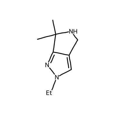 CCn1cc2c(n1)C(C)(C)NC2